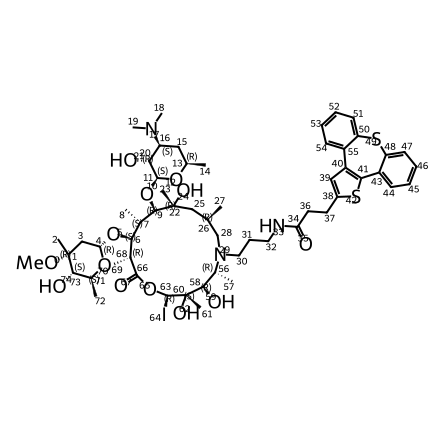 CO[C@]1(C)C[C@H](O[C@H]2[C@H](C)[C@@H](O[C@@H]3O[C@H](C)C[C@H](N(C)C)[C@H]3O)[C@](C)(O)C[C@@H](C)CN(CCCNC(=O)CCc3cc4c(s3)-c3ccccc3Sc3ccccc3-4)[C@H](C)[C@@H](O)[C@](C)(O)[C@@H](I)OC(=O)[C@@H]2C)O[C@@H](C)[C@@H]1O